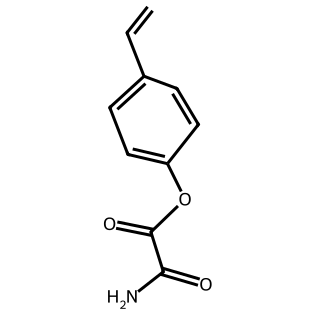 C=Cc1ccc(OC(=O)C(N)=O)cc1